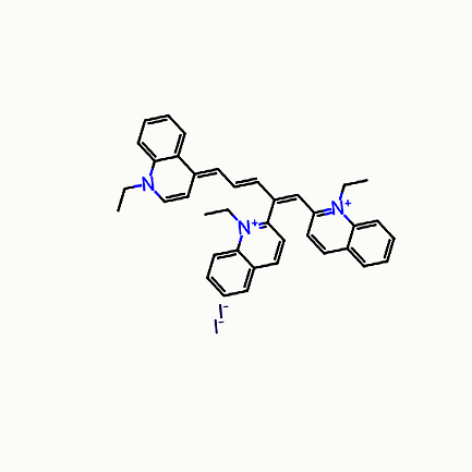 CCN1C=CC(=CC=CC(=Cc2ccc3ccccc3[n+]2CC)c2ccc3ccccc3[n+]2CC)c2ccccc21.[I-].[I-]